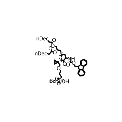 CCCCCCCCCCCC(=O)OCC(CSCC(NC(=O)OCC1c2ccccc2-c2ccccc21)C(=O)NC1(COCCCP(=O)(O)OC(C)CC)CC1)OC(=O)CCCCCCCCCCC